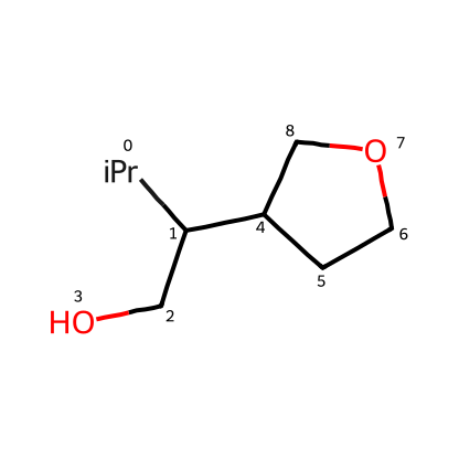 CC(C)C(CO)C1CCOC1